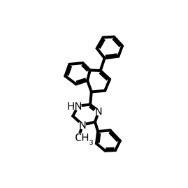 CN1CNC(C2CC=C(c3ccccc3)c3ccccc32)=NC1c1ccccc1